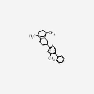 Cc1cc(C2=CC=C3C(C2)C2(C)CCC3(C)CC2)ncc1-c1ccccc1